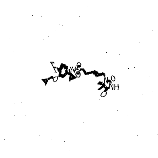 CC1(C)C(=O)NC(=O)N1CCCCCS(=O)(=O)NC1(c2ccc(F)c(OCC3CC3)c2)CC1